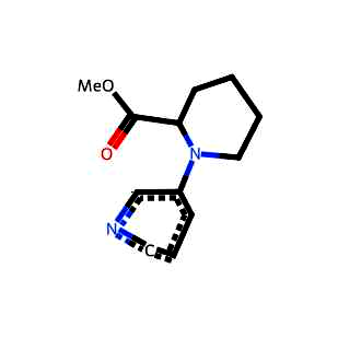 COC(=O)C1CCCCN1c1[c]nccc1